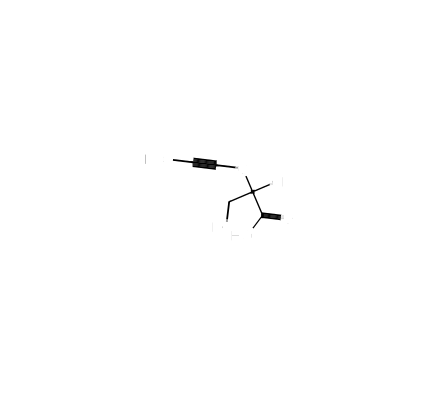 CC#COC(C)(CC)C(=O)O